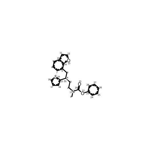 CN(CC[C@H](Cc1cccc2ccoc12)c1cccs1)C(=O)Oc1ccccc1